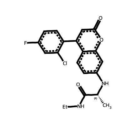 CCNC(=O)[C@@H](C)Nc1ccc2c(-c3ccc(F)cc3Cl)cc(=O)oc2c1